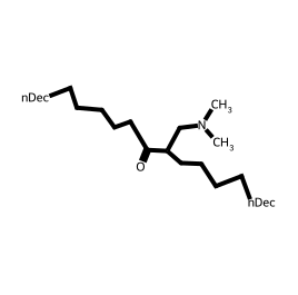 CCCCCCCCCCCCCCCC(=O)C(CCCCCCCCCCCCCC)CN(C)C